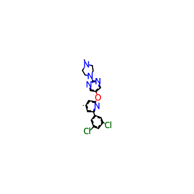 CN1CCN(c2ncc(Oc3c[c]cc(-c4cc(Cl)cc(Cl)c4)n3)cn2)CC1